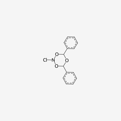 ClN1OC(c2ccccc2)OC(c2ccccc2)O1